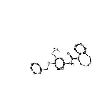 COc1cc(NC(=O)N2CCCCc3ccccc32)ccc1OCc1ccccc1